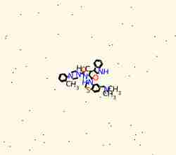 Cc1ccccc1N1CCN(C(=O)N[C@@H](C(=O)N2CCSc3ccc(CN(C)C)cc32)[C@@H](C)c2c[nH]c3ccccc23)CC1